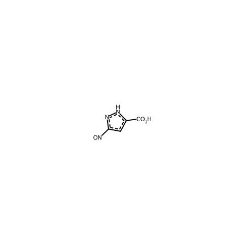 O=Nc1cc(C(=O)O)[nH]n1